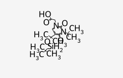 CC(C)n1c(=O)c(C(C)(C)O[SiH2]C(C)(C)C)cn(CC(=O)O)c1=O